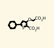 O=C(O)COc1cc(-c2ccccc2)sc1C(=O)O